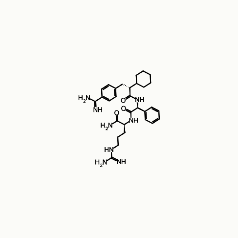 N=C(N)NCCC[C@H](NC(=O)[C@@H](NC(=O)[C@H](Cc1ccc(C(=N)N)cc1)C1CCCCC1)c1ccccc1)C(N)=O